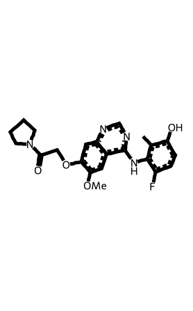 COc1cc2c(Nc3c(F)ccc(O)c3C)ncnc2cc1OCC(=O)N1CCCC1